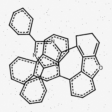 C1=c2oc3cccc(-c4cc5ccccc5c5ccccc45)c3c2=C(c2nc(-c3ccccc3)nc(-c3ccccc3)n2)CC1